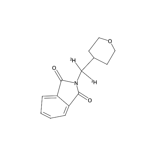 [2H]C([2H])(C1CCOCC1)N1C(=O)c2ccccc2C1=O